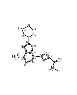 CN(C)C(=O)c1csc(-c2cnc(N)c3nc(C4CCCNC4)cn23)c1